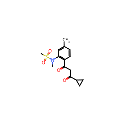 CN(c1cc(C(F)(F)F)ccc1C(=O)CC(=O)C1CC1)S(C)(=O)=O